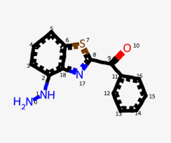 NNc1cccc2sc(C(=O)c3ccccc3)nc12